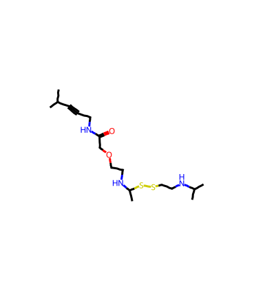 CC(C)C#CCNC(=O)COCCNC(C)SSCCNC(C)C